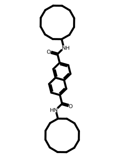 O=C(NC1CCCCCCCCCCC1)c1ccc2cc(C(=O)NC3CCCCCCCCCCC3)ccc2c1